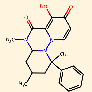 CC1CC2N(C)C(=O)c3c(O)c(=O)ccn3N2C(C)(c2ccccc2)C1